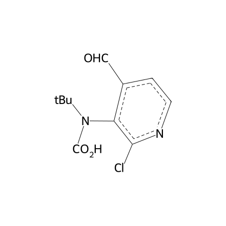 CC(C)(C)N(C(=O)O)c1c(C=O)ccnc1Cl